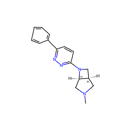 CN1C[C@@H]2CN(c3ccc(-c4ccccc4)nn3)[C@@H]2C1